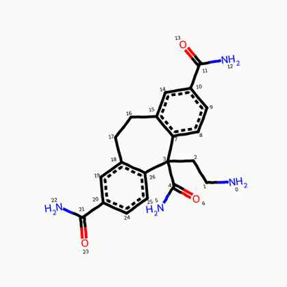 NCCC1(C(N)=O)c2ccc(C(N)=O)cc2CCc2cc(C(N)=O)ccc21